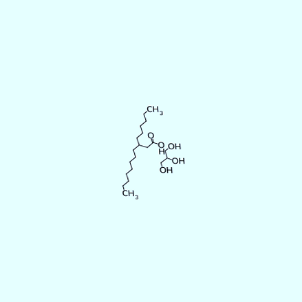 CCCCCCCCC(CCCCCC)CC(=O)O.OCC(O)CO